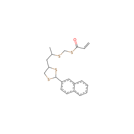 C=CC(=O)SCSC(C)CC1CSC(c2ccc3ccccc3c2)S1